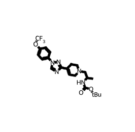 CC(CN1CC=C(c2ncn(-c3ccc(OC(F)(F)F)cc3)n2)CC1)NC(=O)OC(C)(C)C